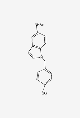 CC(=O)Nc1ccc2c(ccn2Cc2ccc(C(C)(C)C)cc2)c1